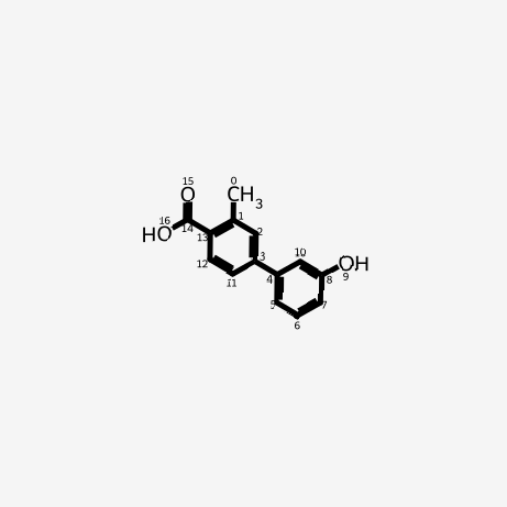 Cc1cc(-c2cccc(O)c2)ccc1C(=O)O